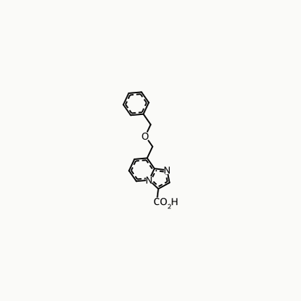 O=C(O)c1cnc2c(COCc3ccccc3)cccn12